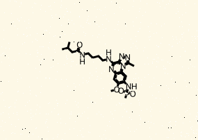 COc1cc2nc(NCCCCNC(=O)CC(C)C)c3nnc(C)n3c2cc1NS(C)(=O)=O